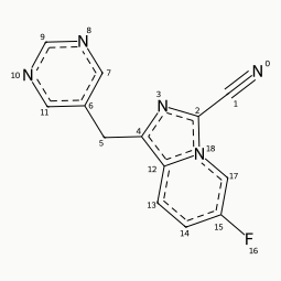 N#Cc1nc(Cc2cncnc2)c2ccc(F)cn12